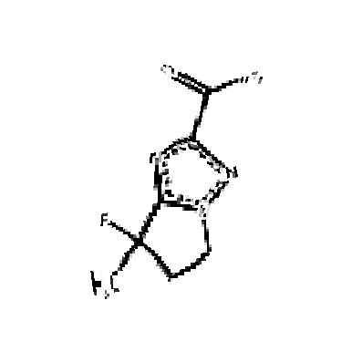 CCCC(=O)c1nc2n(n1)CCC2(C)F